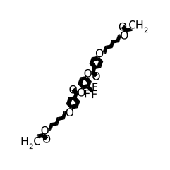 C=CC(=O)OCCCCCCOc1ccc(C(=O)Oc2ccc(OC(=O)c3ccc(OCCCCCCOC(=O)C=C)cc3)c(C(F)(F)F)c2)cc1